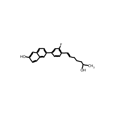 CC(O)CCCC=Cc1ccc(-c2ccc3cc(O)ccc3c2)cc1F